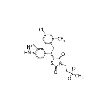 CS(=O)(=O)CCN1C(=O)S/C(=C(/Cc2ccc(Cl)cc2C(F)(F)F)c2ccc3[nH]ncc3c2)C1=O